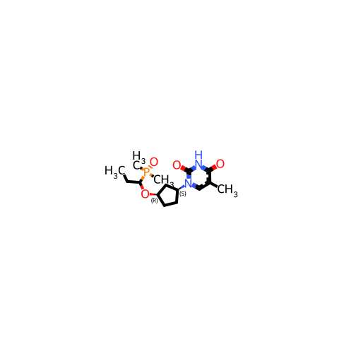 CCC(O[C@@H]1CC[C@H](n2cc(C)c(=O)[nH]c2=O)C1)P(C)(C)=O